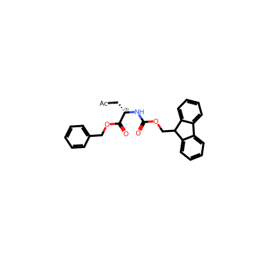 CC(=O)C[C@H](NC(=O)OCC1c2ccccc2-c2ccccc21)C(=O)OCc1ccccc1